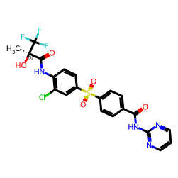 C[C@@](O)(C(=O)Nc1ccc(S(=O)(=O)c2ccc(C(=O)Nc3ncccn3)cc2)cc1Cl)C(F)(F)F